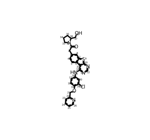 O=C(Cc1ccc2c(c1)sc1ncnc(Nc3ccc(OCc4ccccn4)c(Cl)c3)c12)N1CCCC1CO